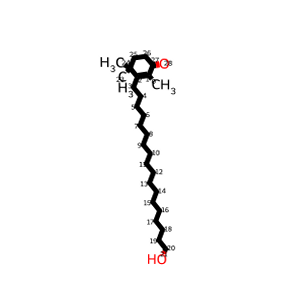 CC1=C(CCCCCCCCCCCCCCCCCCO)C(C)(C)CCC1=O